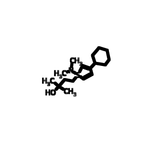 CN(C)S1(CCC(C)(C)O)C=CC(C2CCCCC2)=C1